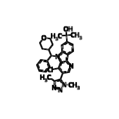 Cc1nnn(C)c1-c1cnc2c3ccc(C(C)(C)O)cc3n(C(c3ccccc3)C3CCOCC3)c2c1Cl